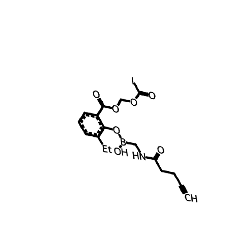 C#CCCC(=O)NCB(O)Oc1c(CC)cccc1C(=O)OCOC(=O)I